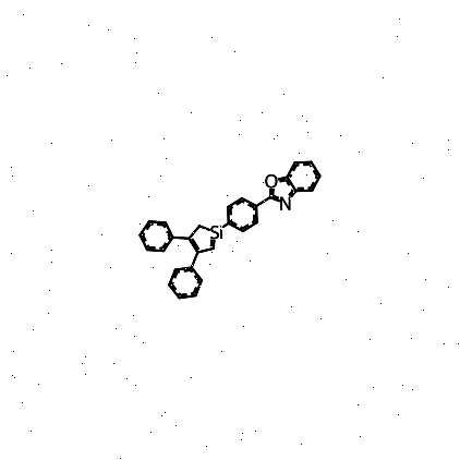 C1=[Si](c2ccc(-c3nc4ccccc4o3)cc2)CC(c2ccccc2)=C1c1ccccc1